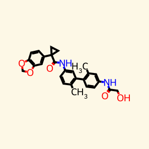 Cc1cc(NC(=O)CO)ccc1-c1cc(NC(=O)C2(c3ccc4c(c3)OCO4)CC2)ccc1C